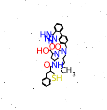 CCCCCN(Cc1ccc(-c2ccccc2-c2nnn[nH]2)cc1)C(=O)N1CC(NC(=O)C(CS)Cc2ccccc2)CC1C(=O)O